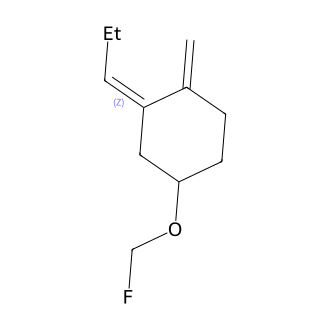 C=C1CCC(OCF)C/C1=C/CC